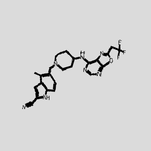 Cc1c(CN2CCC(Nc3ncnc4oc(CC(F)(F)F)nc34)CC2)ccc2[nH]c(C#N)cc12